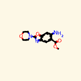 COC(=O)c1cc2nc(N3CCOCC3)oc2cc1N